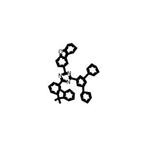 CC1(C)c2ccccc2-c2c(-c3nc(-c4cc(-c5ccccc5)cc(-c5ccccc5)c4)nc(-c4ccc5oc6ccccc6c5c4)n3)cccc21